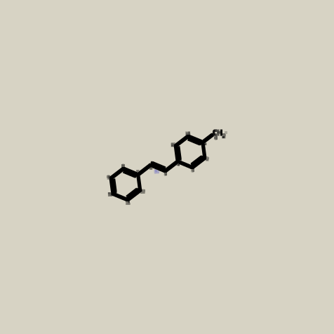 [CH2]c1ccc(/C=C/c2ccccc2)cc1